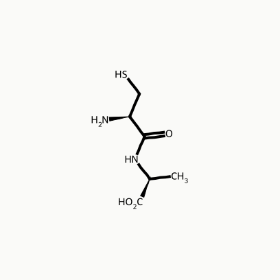 C[C@H](NC(=O)[C@@H](N)CS)C(=O)O